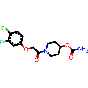 NC(=O)OC1CCN(C(=O)COc2ccc(Cl)c(F)c2)CC1